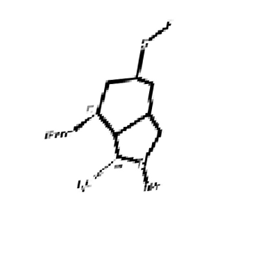 CCCC(C)[C@H]1CC(SF)CC2CN(CCC)[C@H](C)C21